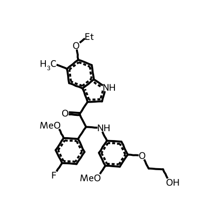 CCOc1cc2[nH]cc(C(=O)C(Nc3cc(OC)cc(OCCO)c3)c3ccc(F)cc3OC)c2cc1C